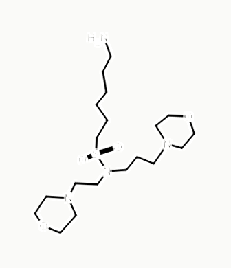 NCCCCCCS(=O)(=O)N(CCCN1CCOCC1)CCN1CCOCC1